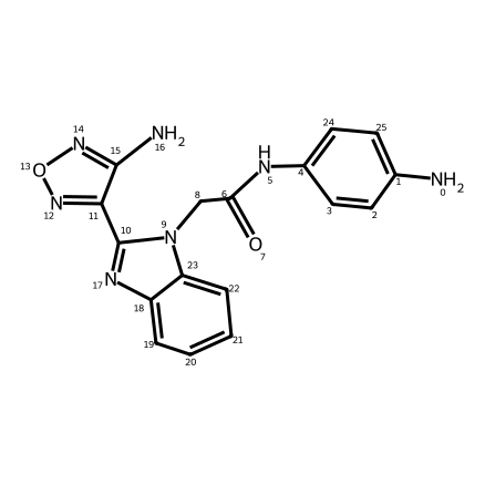 Nc1ccc(NC(=O)Cn2c(-c3nonc3N)nc3ccccc32)cc1